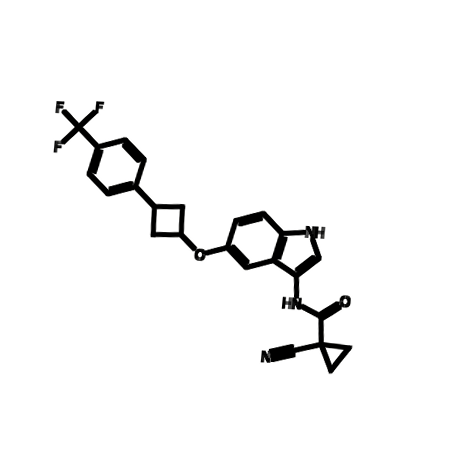 N#CC1(C(=O)Nc2c[nH]c3ccc(OC4CC(c5ccc(C(F)(F)F)cc5)C4)cc23)CC1